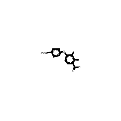 COc1ccc(Oc2ccc(C(=O)Cl)c(I)c2I)cc1